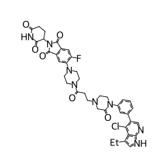 CCc1c[nH]c2ncc(-c3cccc(N4CCN(CCC(=O)N5CCN(c6cc7c(cc6F)C(=O)N(C6CCC(=O)NC6=O)C7=O)CC5)CC4=O)c3)c(Cl)c12